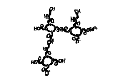 C#CCNC(=O)CN1CCN(CC(=O)O)CCN(CC(=O)[O-])CCN(CC(=O)O)CC1.C#CCNC(=O)CN1CCN(CC(=O)O)CCN(CC(=O)[O-])CCN(CC(=O)O)CC1.C#CCNC(=O)CN1CCN(CC(=O)O)CCN(CC(=O)[O-])CCN(CC(=O)O)CC1.[Gd+3]